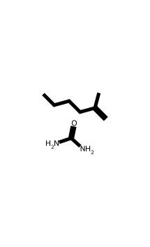 C=C(C)CCCC.NC(N)=O